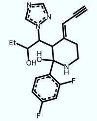 C#CC=C1CCNC(O)(c2ccc(F)cc2F)C1C(C(O)CC)n1cncn1